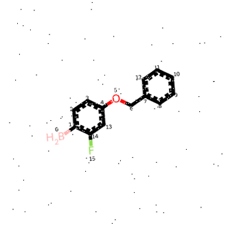 Bc1ccc(OCc2ccccc2)cc1F